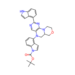 CC(C)(C)OC(=O)n1ccc2c(N3CC4COCCN4c4nc(-c5cccc6[nH]ccc56)ncc43)cccc21